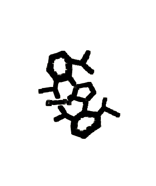 CC(C)c1cccc(C(C)C)c1N1CCN(c2c(C(C)C)cccc2C(C)C)[C]1=[Pd][Cl]